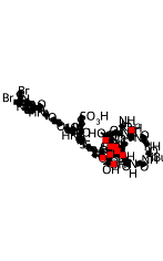 CC[C@H](C)[C@@H]1NC(=O)CNC(=O)[C@H]2Cc3c([nH]c4cc(OC(=O)N(C)CCSSC(C)(C)C(NC(=O)CCOCCOCCNC(=O)c5ccc6nc(CBr)c(CBr)nc6c5)C(=O)NCCS(=O)(=O)O)ccc34)[S+]([O-])C[C@H](NC(=O)CNC1=O)C(=O)N[C@@H](CC(N)=O)C(=O)N1C[C@H](O)C[C@H]1C(=O)N[C@@H]([C@@H](C)[C@@H](O)CO)C(=O)N2